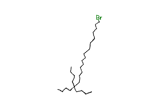 CCCCC(CCCC)(CCCC)CCCCCCCCCCCCCCCBr